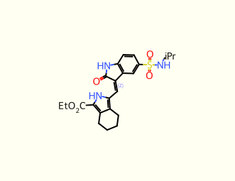 CCOC(=O)c1[nH]c(/C=C2\C(=O)Nc3ccc(S(=O)(=O)NC(C)C)cc32)c2c1CCCC2